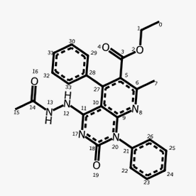 CCOC(=O)c1c(C)nc2c(c(NNC(C)=O)nc(=O)n2-c2ccccc2)c1-c1ccccc1